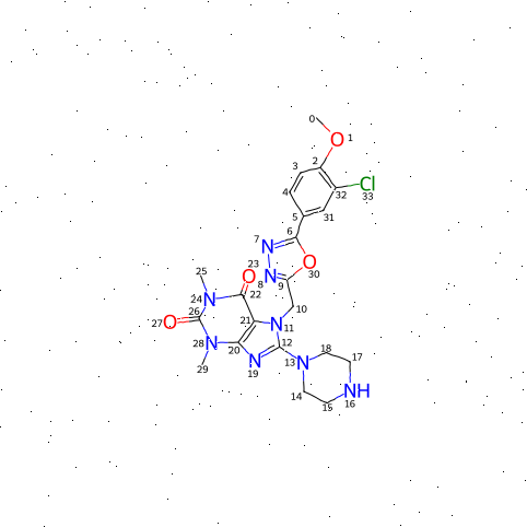 COc1ccc(-c2nnc(Cn3c(N4CCNCC4)nc4c3c(=O)n(C)c(=O)n4C)o2)cc1Cl